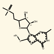 C=P(C)(C)CCC1OC(n2c(SCCC)nc3c(=O)[nH]c(C)nc32)[C@H](O)[C@@H]1O